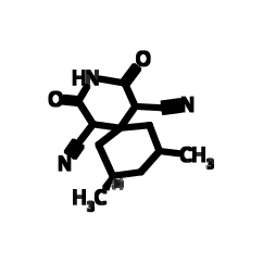 CC1C[C@@H](C)CC2(C1)C(C#N)C(=O)NC(=O)C2C#N